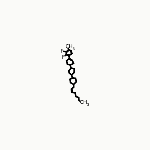 CCCCC/C=C\CC1CCC(C2CCC(C3CC=C(c4ccc(C)c(F)c4F)CC3)CC2)CC1